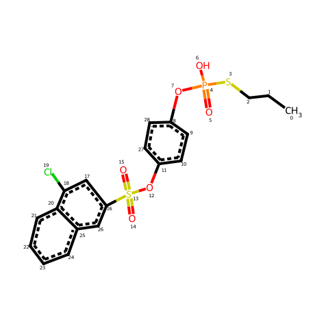 CCCSP(=O)(O)Oc1ccc(OS(=O)(=O)c2cc(Cl)c3ccccc3c2)cc1